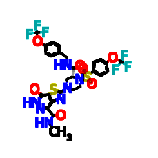 CNC(=O)c1n[nH]c(=O)c2sc(N3CCN(S(=O)(=O)c4ccc(OC(F)(F)F)cc4)[C@@H](C(=O)NCc4ccc(OC(F)(F)F)cc4)C3)nc12